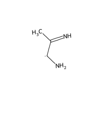 CC(=N)[CH]N